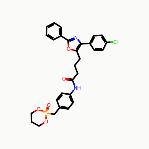 O=C(CCCc1oc(-c2ccccc2)nc1-c1ccc(Cl)cc1)Nc1ccc(CP2(=O)OCCCO2)cc1